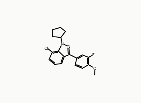 COc1ccc(-c2nn(C3CCCC3)c3c(Cl)cccc23)cc1F